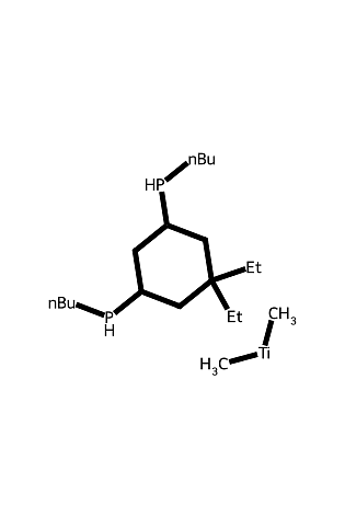 CCCCPC1CC(PCCCC)CC(CC)(CC)C1.[CH3][Ti][CH3]